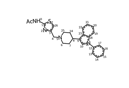 CC(=O)Nc1nc(CN2CCC(c3cn(-c4ccccc4)c4ccccc34)CC2)cs1